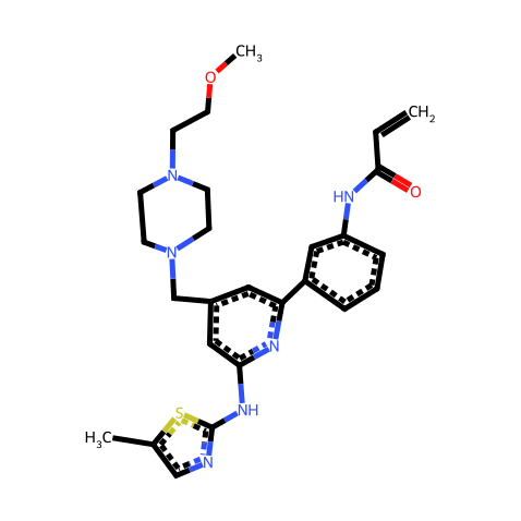 C=CC(=O)Nc1cccc(-c2cc(CN3CCN(CCOC)CC3)cc(Nc3ncc(C)s3)n2)c1